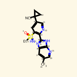 CCS(=N)(=O)c1cc(C2(C#N)CC2)cnc1-c1nc2cc(C(F)(F)F)cnc2[nH]1